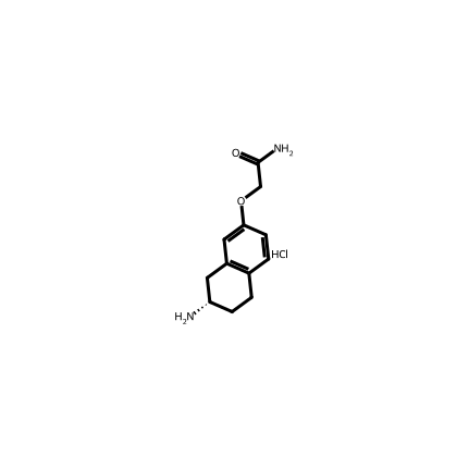 Cl.NC(=O)COc1ccc2c(c1)C[C@@H](N)CC2